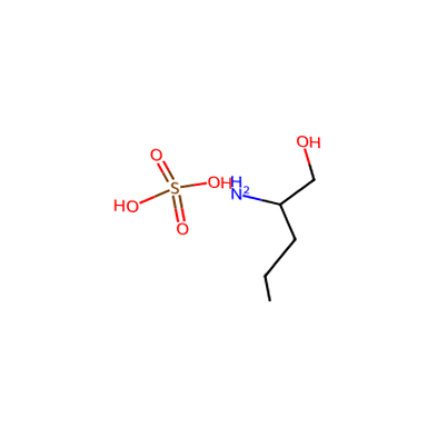 CCCC(N)CO.O=S(=O)(O)O